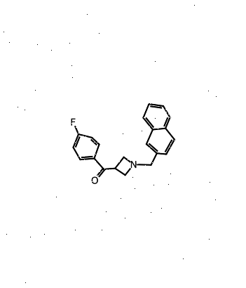 O=C(c1ccc(F)cc1)C1CN(Cc2ccc3ccccc3c2)C1